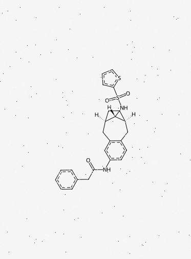 O=C(Cc1ccccc1)Nc1ccc2c(c1)C[C@H]1CC[C@@H](C2)[C@H]1NS(=O)(=O)c1cccs1